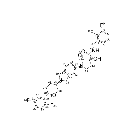 O=C(NCc1cccc(F)c1F)C1(O)CCN(c2ccc3c(c2)CN([C@@H]2CC[C@@H](c4cc(F)ccc4F)OC2)C3)C1=O